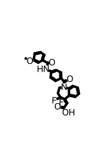 COc1cccc(C(=O)Nc2ccc(C(=O)N3CCC(F)(F)/C(=C\C(=O)O)c4ccccc43)cc2)c1